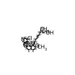 COc1ccc2ccc(=O)n(Nc3c(Cl)cncc3Cl)c2c1OCCCCCCN(C)CCO